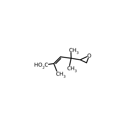 CC(=CC(C)(C)C1CO1)C(=O)O